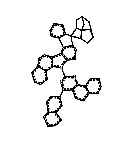 c1ccc2c(c1)-c1c(ccc3c1c1ccc4ccccc4c1n3-c1nc(-c3ccc4ccccc4c3)c3ccc4ccccc4c3n1)C21C2CC3CC4CC1C2(C3)C4